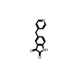 O=C1Nc2ccc(Cc3ccncc3)cc2C1=O